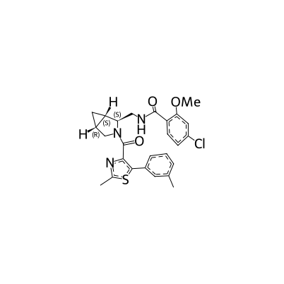 COc1cc(Cl)ccc1C(=O)NC[C@@H]1[C@H]2C[C@H]2CN1C(=O)c1nc(C)sc1-c1cccc(C)c1